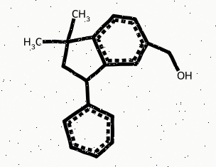 CC1(C)CC(c2ccccc2)c2cc(CO)ccc21